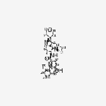 O=C(Nc1ccc2nn(C3CCOCC3)cc2c1N1CCCC1)C1=NN(c2c(F)cccc2F)C(O)C=C1